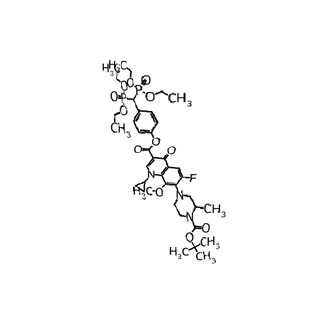 CCOP(=O)(OCC)C(c1ccc(OC(=O)c2cn(C3CC3)c3c(OC)c(N4CCN(C(=O)OC(C)(C)C)C(C)C4)c(F)cc3c2=O)cc1)P(=O)(OCC)OCC